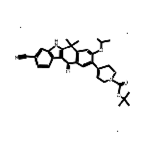 CC(C)Oc1cc2c(cc1C1=CCN(C(=O)OC(C)(C)C)CC1)C(=O)c1c([nH]c3cc(C#N)ccc13)C2(C)C